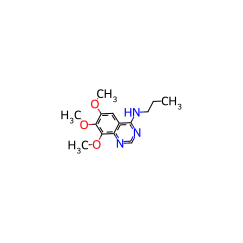 CCCNc1ncnc2c(OC)c(OC)c(OC)cc12